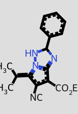 [C-]#[N+]c1c(C(=O)OCC)c2n(c1=C(C)C)NC(c1ccccc1)N=2